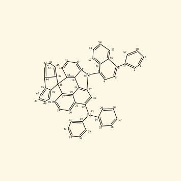 c1ccc(-c2ccc(-n3c4cccc5c4c4c6c(cccc6c(N(c6ccccc6)c6ccccc6)cc43)C53c4ccccc4-c4ccccc43)c3ccccc23)cc1